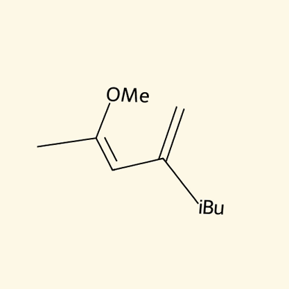 C=C(/C=C(/C)OC)C(C)CC